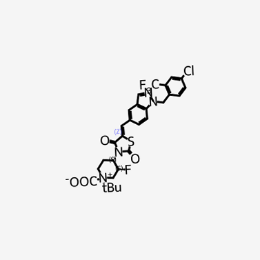 CC(C)(C)[N+]1(C(=O)[O-])CC[C@H](N2C(=O)S/C(=C\c3ccc4c(cnn4Cc4ccc(Cl)cc4C(F)(F)F)c3)C2=O)[C@@H](F)C1